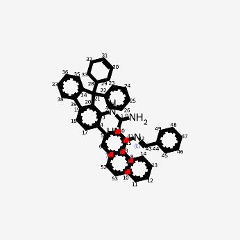 NC(Nc1c(-c2ccc(-c3ccccc3)cc2)ccc2c1C(c1ccccc1)(C1CC=CCC1)c1ccccc1-2)NC(/N=C/c1ccccc1)c1ccccc1